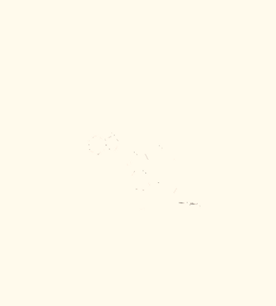 CN(C)CC(=O)N[C@@H](Cc1c[nH]c2ccccc12)C(=O)N[C@@H](CCC(=O)C=[N+]=[N-])C(=O)OC(C)(C)C